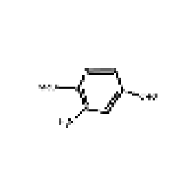 COc1ncc(C=O)cc1N